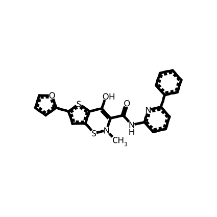 CN1Sc2cc(-c3ccco3)sc2C(O)=C1C(=O)Nc1cccc(-c2ccccc2)n1